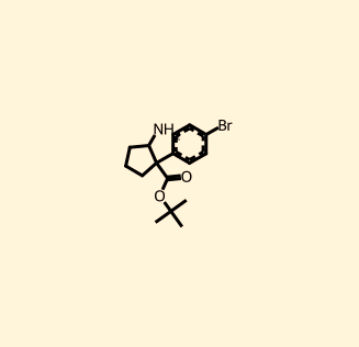 CC(C)(C)OC(=O)C1(c2ccc(Br)cc2)CCCC1N